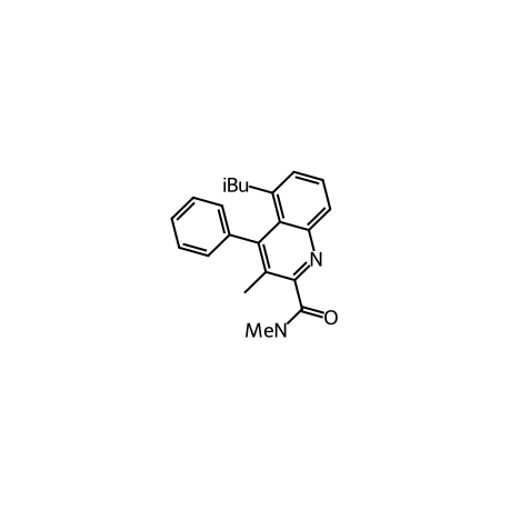 CCC(C)c1cccc2nc(C(=O)NC)c(C)c(-c3ccccc3)c12